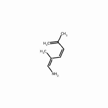 C=C(C)/C=C\C(C)=C/N